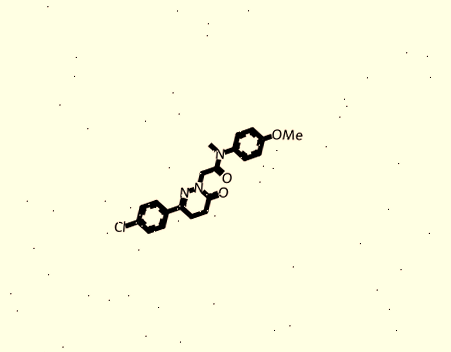 COc1ccc(N(C)C(=O)CN2N=C(c3ccc(Cl)cc3)CCC2=O)cc1